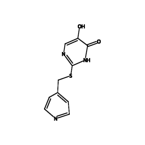 O=c1[nH]c(SCc2ccncc2)ncc1O